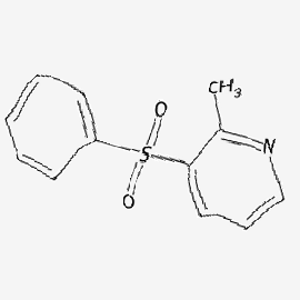 Cc1ncccc1S(=O)(=O)c1ccccc1